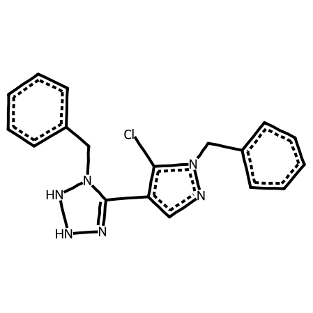 Clc1c(C2=NNNN2Cc2ccccc2)cnn1Cc1ccccc1